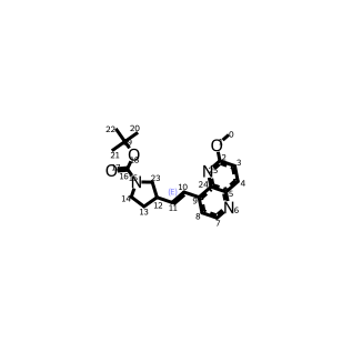 COc1ccc2nccc(/C=C/C3CCN(C(=O)OC(C)(C)C)C3)c2n1